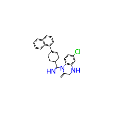 C=C1CNc2cc(Cl)ccc2N1C(=N)C1CC=C(c2cccc3ccccc23)CC1